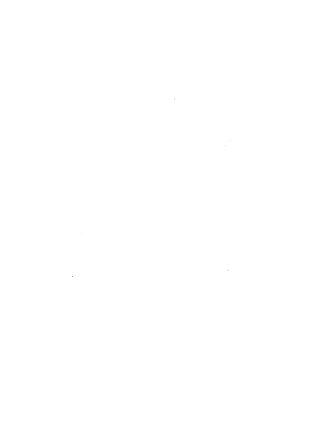 CC(C)(O)C#Cc1cccc2oc3c(c12)=CCCC=3